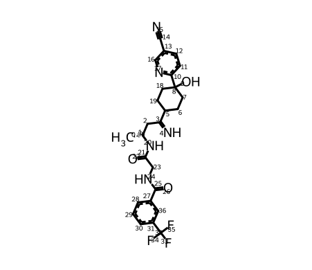 C[C@H](CC(=N)C1CCC(O)(c2ccc(C#N)cn2)CC1)NC(=O)CNC(=O)c1cccc(C(F)(F)F)c1